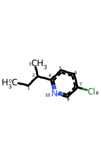 CCC(C)c1ccc(Cl)cn1